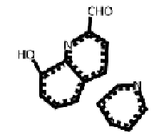 O=Cc1ccc2cccc(O)c2n1.c1ccncc1